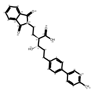 Cc1ccc(-c2ccc(CC[C@H](O)[C@@H](CCN3C(=O)c4ccccc4C3=O)C(=O)O)cc2)cn1